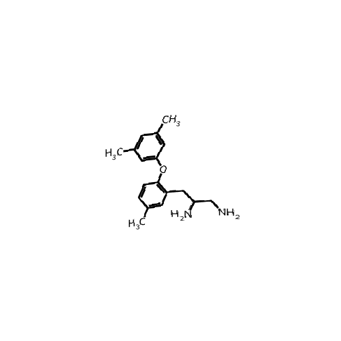 Cc1cc(C)cc(Oc2ccc(C)cc2CC(N)CN)c1